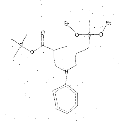 CCO[Si](C)(CCCN(CC(C)C(=O)O[Si](C)(C)C)c1ccccc1)OCC